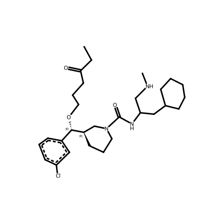 CCC(=O)CCCO[C@@H](c1cccc(Cl)c1)[C@@H]1CCCN(C(=O)NC(CNC)CC2CCCCC2)C1